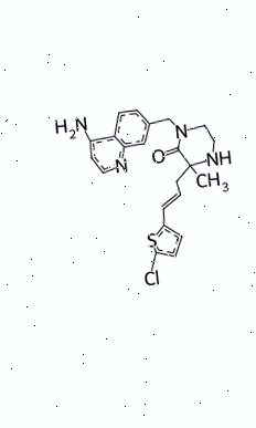 CC1(CC=Cc2ccc(Cl)s2)NCCN(Cc2ccc3c(N)ccnc3c2)C1=O